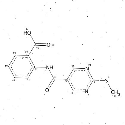 CSc1ncc(C(=O)Nc2ccccc2C(=O)O)cn1